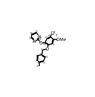 COc1cc(OCc2ccc(C)cc2)c(Oc2ncccn2)cc1C(F)(F)F